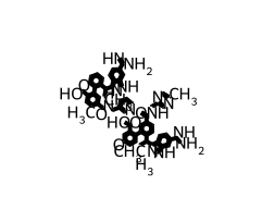 CCC(c1ccc(C(=O)NCc2cnc(C)cn2)cc1-c1ccc(OC)cc1C(=O)O)c1n[nH]c2cc(C(=N)N)ccc12.CCC(c1ccccc1-c1cc(C(=O)NCc2cccnc2)c(C)cc1C(=O)O)c1n[nH]c2cc(C(=N)N)ccc12